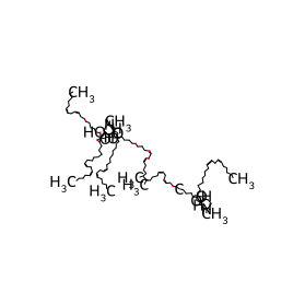 CCCCC/C=C\C/C=C\CCCCCCCCC1(CCCCCCCC/C=C\C/C=C\CCCC(C)C(C)CCC/C=C\C/C=C\CCCCCCCCC2(CCCCCCCC/C=C\C/C=C\CCCCC)O[C@H]3CCCN(C)C[C@H]3O2)O[C@H]2[C@H](OC3(CCCCCCCC/C=C\C/C=C\CCCCC)CC3CCCCCCC/C=C\C/C=C\CCCCC)[C@H](O)CN(C)C[C@H]2O1